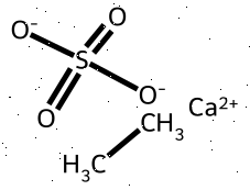 CC.O=S(=O)([O-])[O-].[Ca+2]